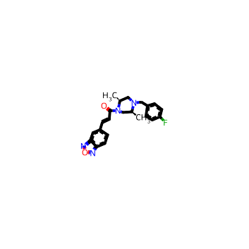 C[C@@H]1CN(Cc2ccc(F)cc2)[C@@H](C)CN1C(=O)/C=C/c1ccc2nonc2c1